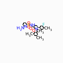 Cc1cc(C)c(Oc2nc(-c3ccc(C)c(F)c3)ccc2C(=O)NS(=O)(=O)c2cccc(N)n2)c(C)c1